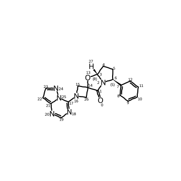 O=C1N2[C@@H](CC[C@H]2c2ccccc2)OC12CN(c1ncnc3ccnn13)C2